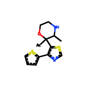 CC(=O)C1(c2scnc2-c2cccs2)OCCNC1C